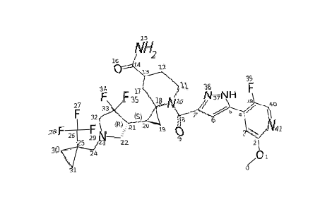 COc1cc(-c2cc(C(=O)N3CCC(C(N)=O)CC34C[C@H]4[C@@H]3CN(CC4(C(F)(F)F)CC4)CC3(F)F)n[nH]2)c(F)cn1